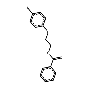 O=C(OCCOc1ccc(I)cc1)c1ccccc1